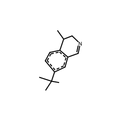 CC1CN=Cc2cc(C(C)(C)C)ccc21